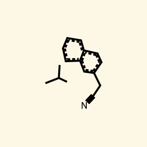 CC(C)C.N#CCc1ccc2ccccc2c1